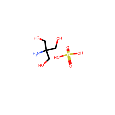 NC(CO)(CO)CO.O=S(=O)(O)O